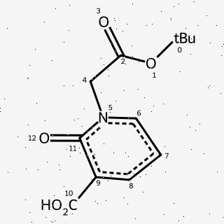 CC(C)(C)OC(=O)Cn1cccc(C(=O)O)c1=O